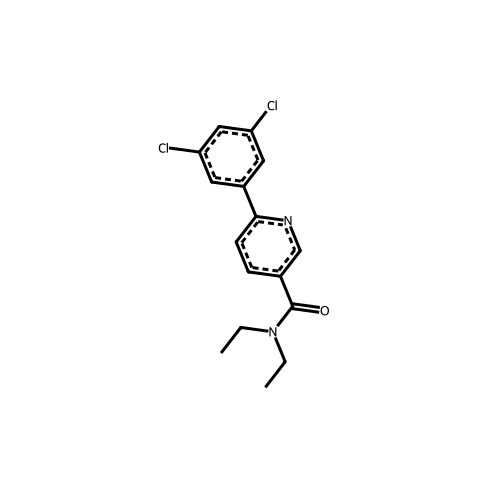 CCN(CC)C(=O)c1ccc(-c2cc(Cl)cc(Cl)c2)nc1